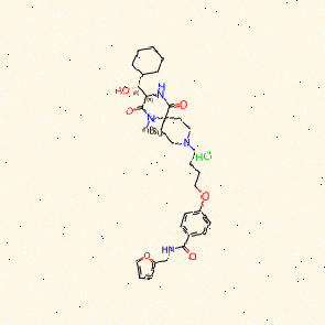 CCCCN1C(=O)[C@@H]([C@H](O)C2CCCCC2)NC(=O)C12CCN(CCCCOc1ccc(C(=O)NCc3ccco3)cc1)CC2.Cl